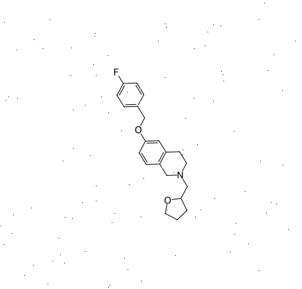 Fc1ccc(COc2ccc3c(c2)CCN(CC2CCCO2)C3)cc1